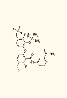 BC(B)(B)Oc1c(Oc2ccc(C(F)F)c(F)c2C(=O)Nc2ccnc(C(N)=O)c2)ccc(OC(F)(F)F)c1F